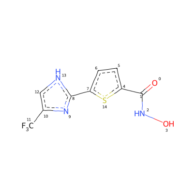 O=C(NO)c1ccc(-c2nc(C(F)(F)F)c[nH]2)s1